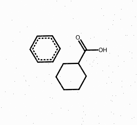 O=C(O)C1CCCCC1.c1ccccc1